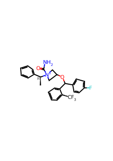 C[C@@H](c1ccccc1)[N+]1(C(N)=O)CC(OC(c2ccc(F)cc2)c2ccccc2C(F)(F)F)C1